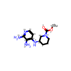 CC(C)(C)OC(=O)N1CCC[C@@H](Nc2ccnc(N)c2N)C1